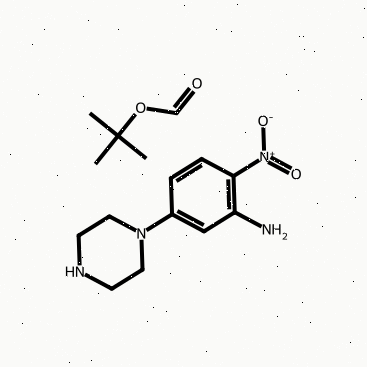 CC(C)(C)OC=O.Nc1cc(N2CCNCC2)ccc1[N+](=O)[O-]